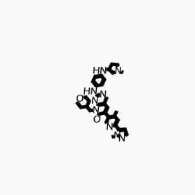 Cc1cc(-c2ccnn2C)ncc1-c1cc2cnc(Nc3ccc(NC4CCN(C)C4)cc3)nc2n(CC2CCOCC2)c1=O